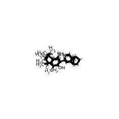 Bc1c(O)c(-c2cc3c(cn2)C2CCC3C2)c(B)c2c1C(C)(C)C(C)(C)C2(C)C